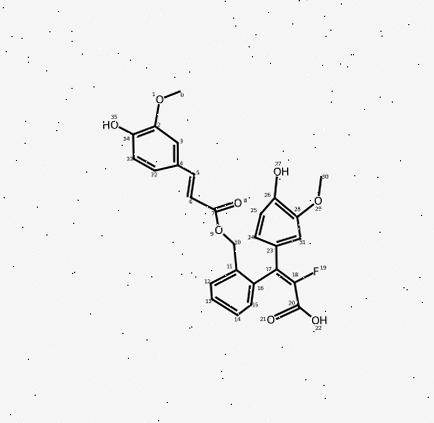 COc1cc(/C=C/C(=O)OCc2ccccc2/C(=C(/F)C(=O)O)c2ccc(O)c(OC)c2)ccc1O